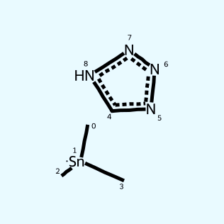 [CH3][Sn]([CH3])[CH3].c1nnn[nH]1